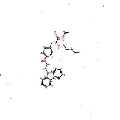 CCCCCOC(Cc1ccc(OCCC2c3ccccc3-c3ccccc32)cc1)C(=O)OCC